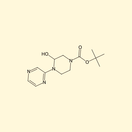 CC(C)(C)OC(=O)N1CCN(c2cnccn2)C(O)C1